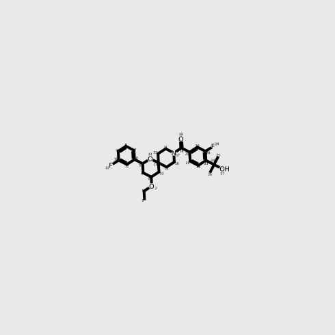 CCOC1CC(c2cccc(F)c2)OC2(CCN(C(=O)c3ccc(C(C)(C)O)c(F)c3)CC2)C1